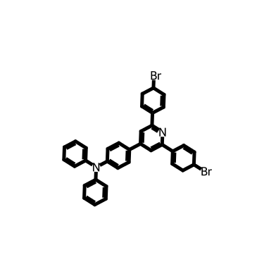 BrC1C=CC(c2cc(-c3ccc(N(c4ccccc4)c4ccccc4)cc3)cc(C3=CCC(Br)C=C3)n2)=CC1